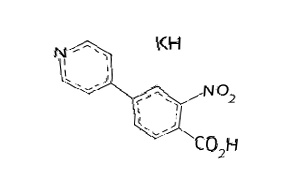 O=C(O)c1ccc(-c2ccncc2)cc1[N+](=O)[O-].[KH]